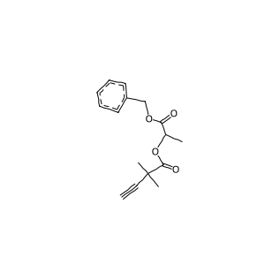 C#CC(C)(C)C(=O)OC(C)C(=O)OCc1ccccc1